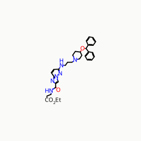 CCOC(=O)CCNC(=O)c1cn2nc(NCCCN3CCC(OC(c4ccccc4)c4ccccc4)CC3)ccc2n1